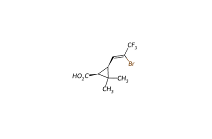 CC1(C)[C@H](C=C(Br)C(F)(F)F)[C@@H]1C(=O)O